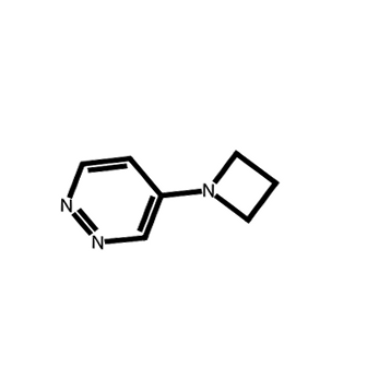 c1cc(N2CCC2)cnn1